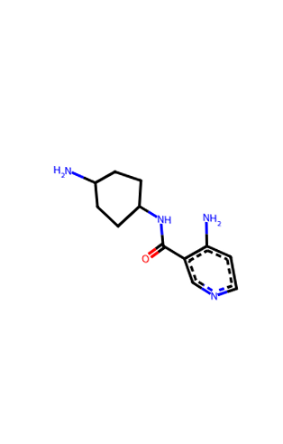 Nc1ccncc1C(=O)NC1CCC(N)CC1